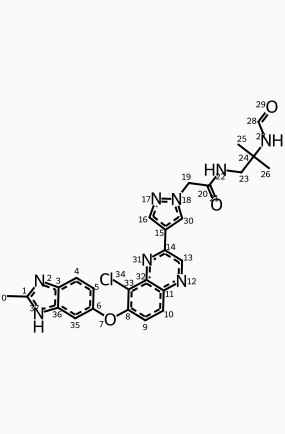 Cc1nc2ccc(Oc3ccc4ncc(-c5cnn(CC(=O)NCC(C)(C)NC=O)c5)nc4c3Cl)cc2[nH]1